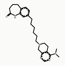 CN(C)c1ncnc2c1CCN(CCCCCCc1ccc3c(c1)NC(=O)CCC3)C2